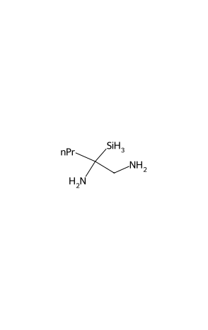 CCCC(N)([SiH3])CN